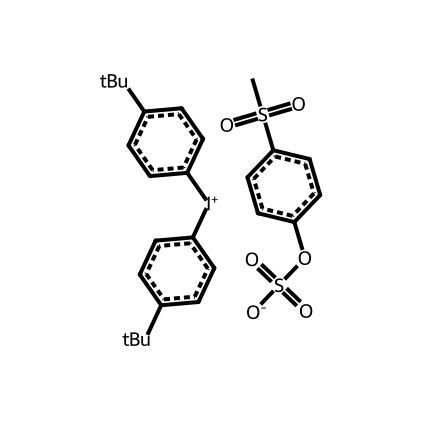 CC(C)(C)c1ccc([I+]c2ccc(C(C)(C)C)cc2)cc1.CS(=O)(=O)c1ccc(OS(=O)(=O)[O-])cc1